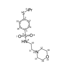 CC(C)Sc1ccc(S(=O)(=O)NCCN2CCOCC2)cc1